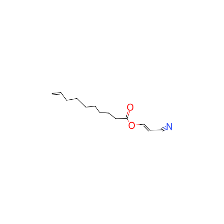 C=CCCCCCCCC(=O)OC=CC#N